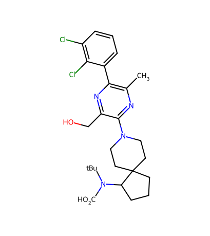 Cc1nc(N2CCC3(CCCC3N(C(=O)O)C(C)(C)C)CC2)c(CO)nc1-c1cccc(Cl)c1Cl